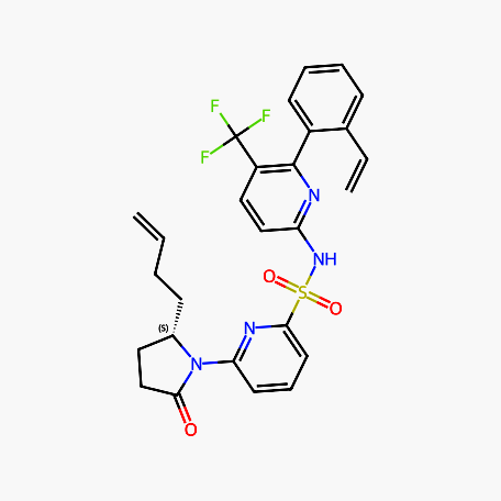 C=CCC[C@H]1CCC(=O)N1c1cccc(S(=O)(=O)Nc2ccc(C(F)(F)F)c(-c3ccccc3C=C)n2)n1